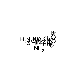 NCCc1cc(C(N)=O)cnc1C(=O)Nc1ccc(-c2nc3c(oc4ccc(Br)cc43)c(=O)[nH]2)c(Cl)c1